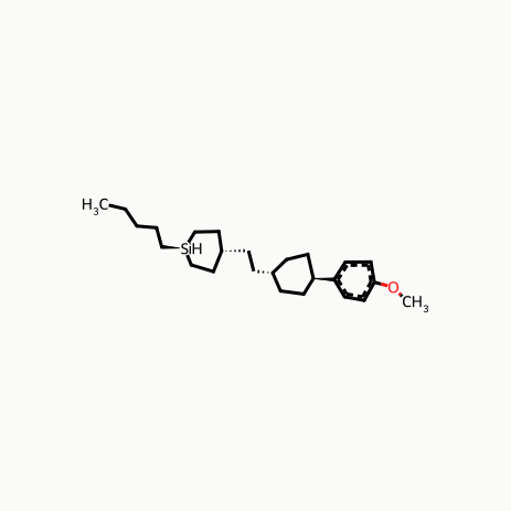 CCCCC[Si@H]1CC[C@H](CC[C@H]2CC[C@H](c3ccc(OC)cc3)CC2)CC1